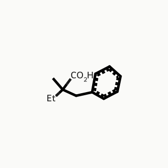 CCC(C)(Cc1ccccc1)C(=O)O